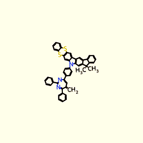 C=C1C=C(c2ccc(-n3c4cc5c(cc4c4cc6c(cc43)C(C)(C)c3ccccc3-6)Sc3ccccc3S5)cc2)N=C(c2ccccc2)N=C1c1ccccc1